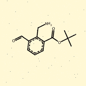 CC(C)(C)OC(=O)c1cccc(C=O)c1CN